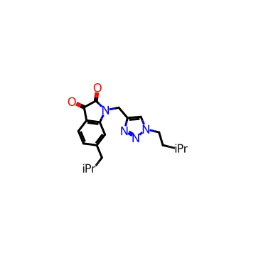 CC(C)CCn1cc(CN2C(=O)C(=O)c3ccc(CC(C)C)cc32)nn1